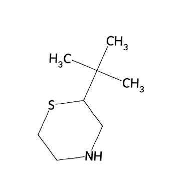 CC(C)(C)C1CNCCS1